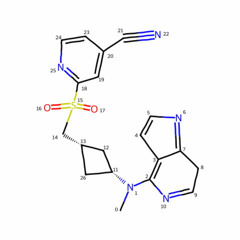 CN(C1=C2C=CN=C2CC=N1)[C@H]1C[C@@H](CS(=O)(=O)c2cc(C#N)ccn2)C1